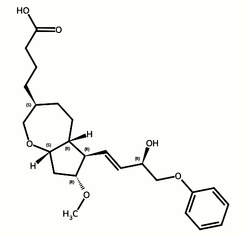 CO[C@@H]1C[C@@H]2OC[C@@H](CCCC(=O)O)CC[C@@H]2[C@H]1C=C[C@@H](O)COc1ccccc1